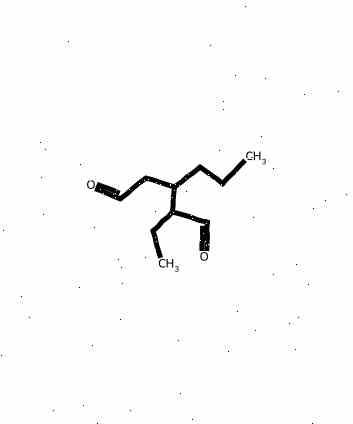 CCCC(CC=O)C(C=O)CC